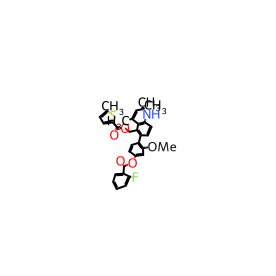 COc1cc(OC(=O)c2ccccc2F)ccc1-c1ccc2c(c1COC(=O)c1ccc(C)s1)C(C)=CC(C)(C)N2